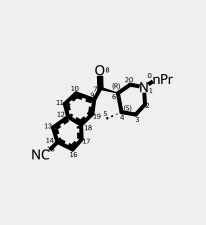 CCCN1CC[C@H](C)[C@@H](C(=O)c2ccc3cc(C#N)ccc3c2)C1